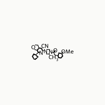 COc1cccc(CC(=O)N2CCN(c3nc(-c4ccccc4)c4c(c3C#N)CCOC4)CC2C)c1